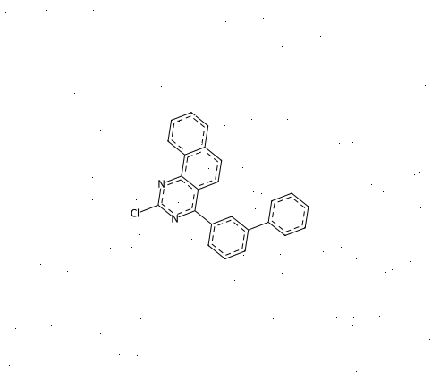 Clc1nc(-c2cccc(-c3ccccc3)c2)c2ccc3ccccc3c2n1